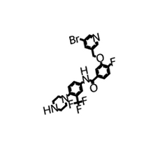 O=C(Nc1ccc(N2CCNCC2)c(C(F)(F)F)c1)c1ccc(F)c(OCc2cncc(Br)c2)c1